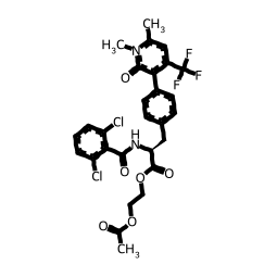 CC(=O)OCCOC(=O)[C@H](Cc1ccc(-c2c(C(F)(F)F)cc(C)n(C)c2=O)cc1)NC(=O)c1c(Cl)cccc1Cl